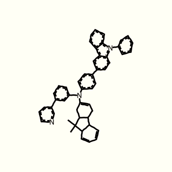 CC1(C)C2C=CC=CC2C2CC=C(N(c3ccc(-c4ccc5c(c4)c4ccccc4n5-c4ccccc4)cc3)c3cccc(-c4cccnc4)c3)CC21